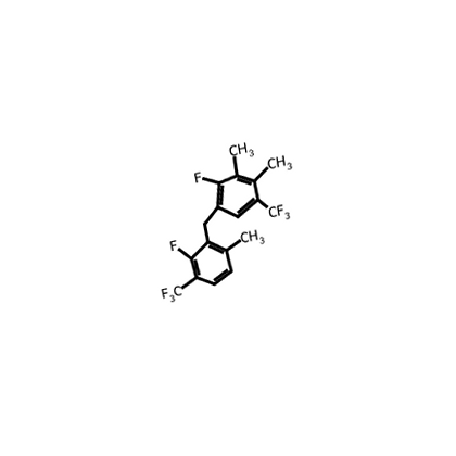 Cc1ccc(C(F)(F)F)c(F)c1Cc1cc(C(F)(F)F)c(C)c(C)c1F